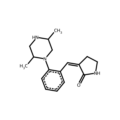 CC1CN(c2ccccc2C=C2CCNC2=O)C(C)CN1